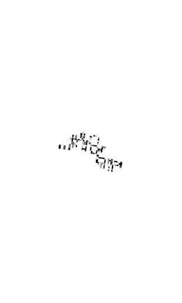 CC(C)(C)c1nc(C(=O)N[C@H]2CCCCc3c2ccc(-c2ccnc(NC(=O)C4CC4)c2)c3F)no1